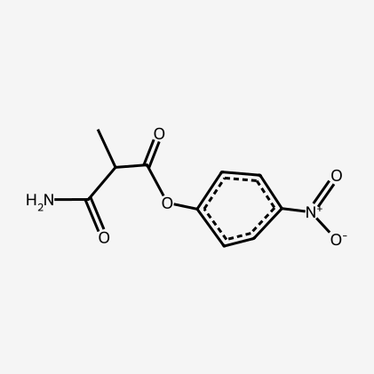 CC(C(N)=O)C(=O)Oc1ccc([N+](=O)[O-])cc1